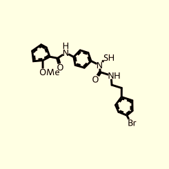 COc1ccccc1C(=O)Nc1ccc(N(S)C(=O)NCCc2ccc(Br)cc2)cc1